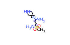 CS(=O)(=O)/C(N)=C/C=C(\N)N1CC2(CCNCC2)C1